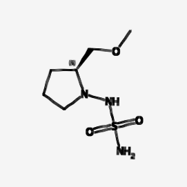 COC[C@@H]1CCCN1NS(N)(=O)=O